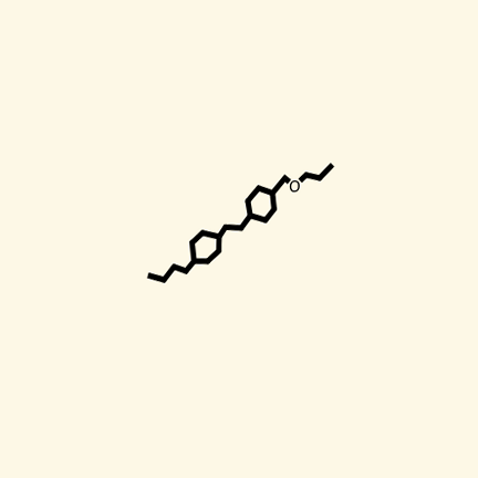 CCCCC1CCC(CCC2CCC(COCCC)CC2)CC1